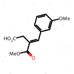 COC(=O)/C(=C/c1cccc(OC)c1)CC(=O)O